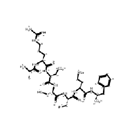 CSCC[C@H](NC(=O)[C@H](CC(C)C)NC(=O)[C@H](CO)NC(=O)[C@H](CC(=O)O)NC(=O)[C@H](CCCNC(=N)N)NC(=O)[C@H](C)N)C(=O)N[C@@H](Cc1ccccc1)C(=O)O